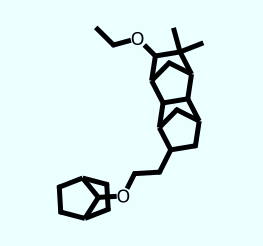 CCOC1C2CC(C3C4CC(CCOC5C6CCC5CC6)C(C4)C23)C1(C)C